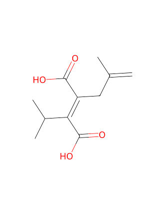 C=C(C)CC(C(=O)O)=C(C(=O)O)C(C)C